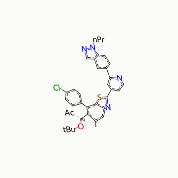 CCCn1ncc2cc(-c3cc(-c4nc5cc(C)c([C@H](OC(C)(C)C)C(C)=O)c(-c6ccc(Cl)cc6)c5s4)ccn3)ccc21